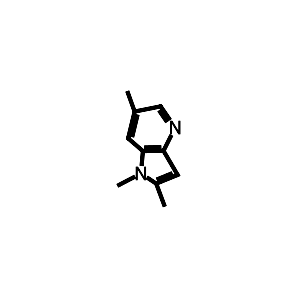 Cc1cnc2cc(C)n(C)c2c1